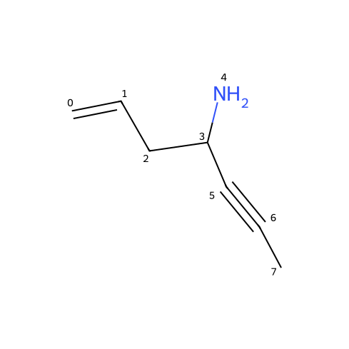 C=CCC(N)C#CC